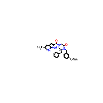 COc1cccc(CN2C(=O)CN(C(=O)c3cc4cc(C)cnc4[nH]3)C[C@@H]2Cc2ccccc2)c1